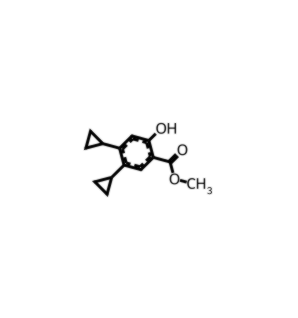 COC(=O)c1cc(C2CC2)c(C2CC2)cc1O